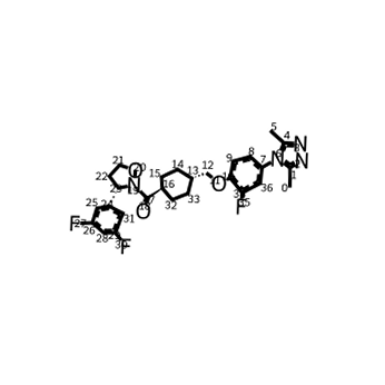 Cc1nnc(C)n1-c1ccc(OC[C@H]2CC[C@H](C(=O)N3OCC[C@H]3c3cc(F)cc(F)c3)CC2)c(F)c1